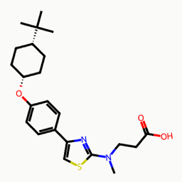 CN(CCC(=O)O)c1nc(-c2ccc(O[C@H]3CC[C@@H](C(C)(C)C)CC3)cc2)cs1